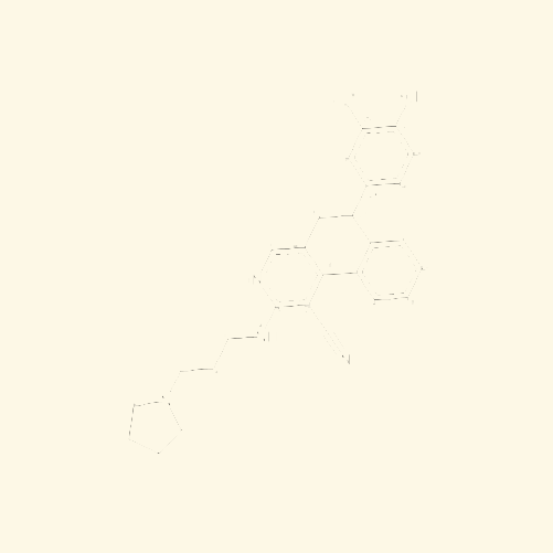 N#Cc1c(NCCCN2CCCC2)ncc2c1-c1ccccc1C(c1ccc(Cl)c(Cl)c1)C2